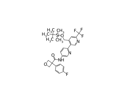 CC(C)(C)[Si](C)(C)OCc1cc(C(F)(F)F)ncc1-c1ccc(NC(=O)C2(c3ccc(F)cc3)COC2)cn1